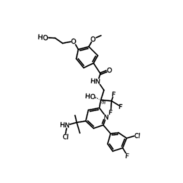 COc1cc(C(=O)NC[C@](O)(c2cc(C(C)(C)NCl)cc(-c3ccc(F)c(Cl)c3)n2)C(F)(F)F)ccc1OCCO